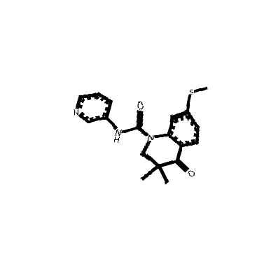 CSc1ccc2c(c1)N(C(=O)Nc1cccnc1)CC(C)(C)C2=O